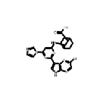 O=C(O)C1C2CCC(CC2)C1Nc1cc(-n2ccnc2)nc(-c2c[nH]c3ncc(Cl)nc23)n1